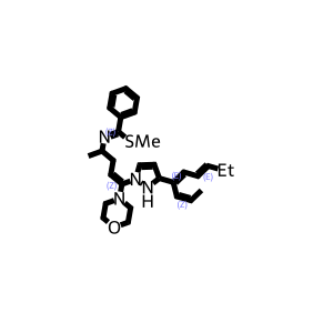 C\C=C/C(=C\C=C\CC)C1C=CN(/C(=C\CC(C)/N=C(\SC)c2ccccc2)N2CCOCC2)N1